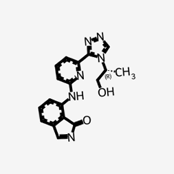 C[C@H](CO)n1cnnc1-c1cccc(Nc2cccc3c2C(=O)N=C3)n1